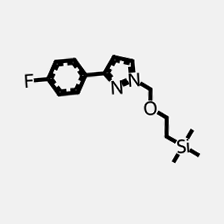 C[Si](C)(C)CCOCn1ccc(-c2ccc(F)cc2)n1